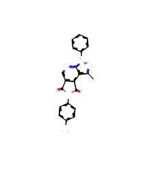 Cc1nn(-c2ccccc2)c2ncc3c(c12)C(=O)N(c1ccc([N+](=O)[O-])cc1)C3=O